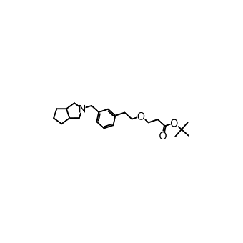 CC(C)(C)OC(=O)CCOCCc1cccc(CN2CC3CCCC3C2)c1